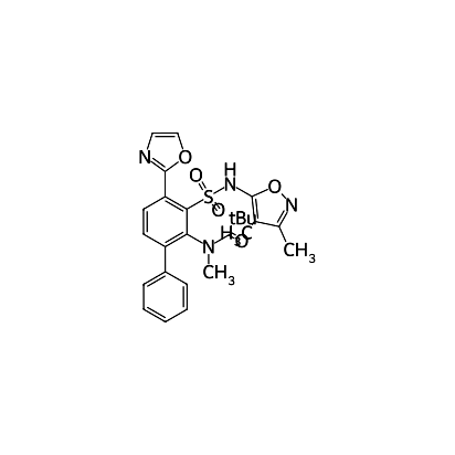 Cc1noc(NS(=O)(=O)c2c(-c3ncco3)ccc(-c3ccccc3)c2N(C)C(=O)C(C)(C)C)c1C